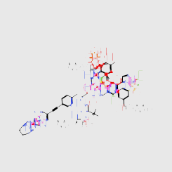 COC(=O)N[C@H](C(=O)N[C@@H](Cc1ccc(C#Cc2cnc(N3CC4CCC(C3)N4C3COC3)nc2)cc1)[C@H](CN(Cc1c(F)cc(-c2ccn(C(F)F)n2)cc1F)NC(=O)[C@@H](NC(=O)OC)C(C)(C)C(F)(F)F)OC(=O)CC(C)(C)c1c(CC(=O)Nc2cc(C(=O)OC)cc(S(C)(=O)=O)c2)cc(C)cc1OP(=O)(O)O)C(C)(C)C(F)(F)F